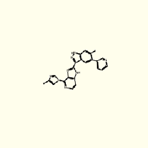 Cc1cn(-c2nccc3[nH]c(-c4n[nH]c5cc(F)c(-c6cccnc6)cc45)nc23)cn1